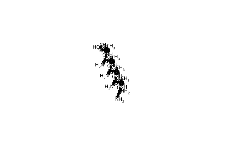 COc1ccc(NC(=O)[C@H](CCCCN)NC(=O)c2cc(NC(=O)[C@H](CCCCN)NC(=O)c3cc(NC(=O)[C@H](CCCCN)NC(=O)c4cc(NC(=O)[C@@H](N)CCCCCN)ccc4OC)ccc3OC)ccc2OC)cc1C(=O)N[C@@H](C)C(=O)O